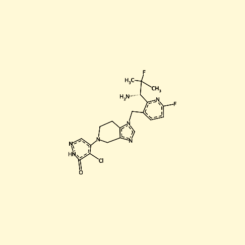 CC(C)(F)[C@@H](N)c1nc(F)ccc1Cn1cnc2c1CCN(c1cn[nH]c(=O)c1Cl)C2